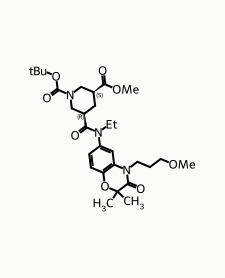 CCN(C(=O)[C@@H]1C[C@H](C(=O)OC)CN(C(=O)OC(C)(C)C)C1)c1ccc2c(c1)N(CCCOC)C(=O)C(C)(C)O2